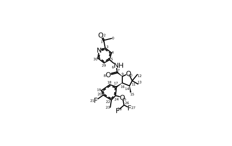 CC(=O)c1cc(NC(=O)[C@H]2OC(C)(C)[C@@H](C)[C@H]2c2ccc(F)c(C)c2OC(F)F)ccn1